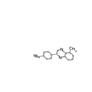 Cc1cccc2nc(-c3ccc(C(C)(C)C)cc3)cnc12